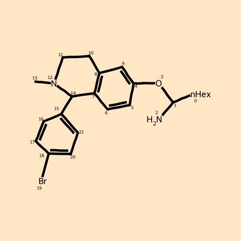 CCCCCCC(N)Oc1ccc2c(c1)CCN(C)C2c1ccc(Br)cc1